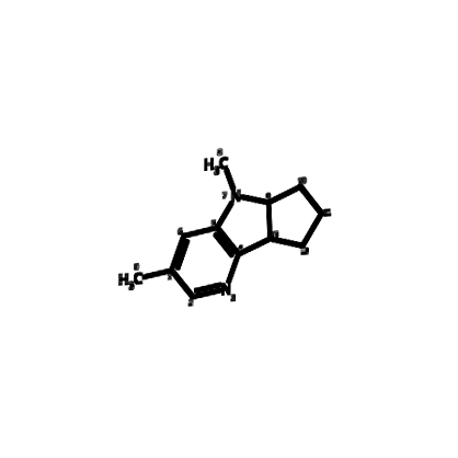 Cc1cnc2c(c1)N(C)C1CCCC21